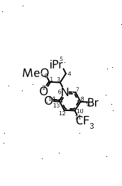 COC(=O)C(CC(C)C)n1cc(Br)c(C(F)(F)F)cc1=O